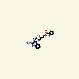 Cc1nc2c(N)nc3ccccc3c2n1CCCCNC(=O)C1CCCC1